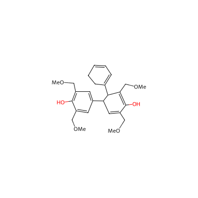 COCC1=CC(c2cc(COC)c(O)c(COC)c2)C(C2=CC=CCC2)C(COC)=C1O